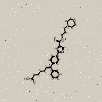 O=C(O)CCCCC=C(c1ccc(-c2nc(C(=O)NCCCN3CCOCC3)co2)cc1)c1cccnc1